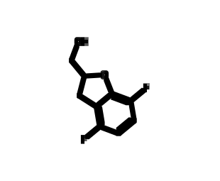 OCC1Cc2c(F)ccc(F)c2O1